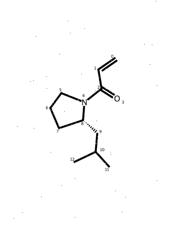 C=CC(=O)N1CCC[C@H]1CC(C)C